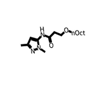 CCCCCCCCOCCC(=O)Nc1cc(C)nn1C